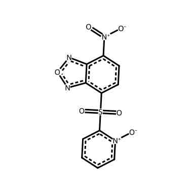 O=[N+]([O-])c1ccc(S(=O)(=O)c2cccc[n+]2[O-])c2nonc12